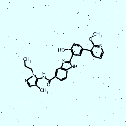 CCCn1ncc(C)c1NC(=O)c1ccc2[nH]c(-c3cc(-c4cccnc4OC)ccc3O)nc2c1